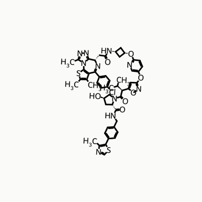 Cc1ncsc1-c1ccc(CNC(=O)[C@@H]2C[C@@H](O)CN2C(=O)[C@H](c2cc(Oc3ccc(O[C@H]4C[C@@H](NC(=O)C[C@@H]5N=C(c6ccc(Cl)cc6)c6c(sc(C)c6C)-n6c(C)nnc65)C4)nc3)no2)C(C)C)cc1